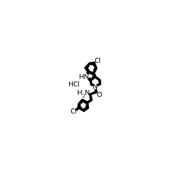 Cl.NC(Cc1ccc(Cl)cc1)C(=O)N1CCc2c([nH]c3ccc(Cl)cc23)C1